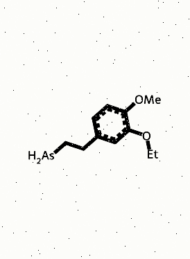 CCOc1cc(CC[AsH2])ccc1OC